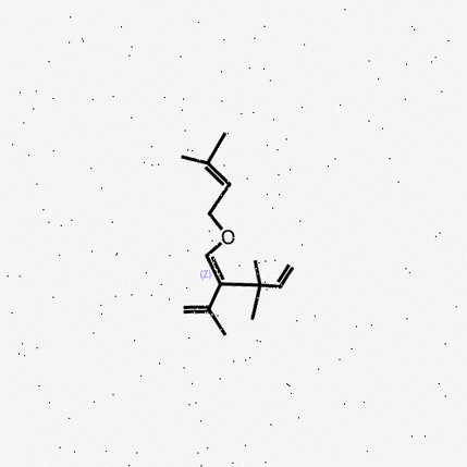 C=CC(C)(C)/C(=C\OCC=C(C)C)C(=C)C